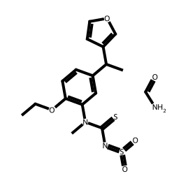 CCOc1ccc(C(C)c2ccoc2)cc1N(C)C(=S)N=S(=O)=O.NC=O